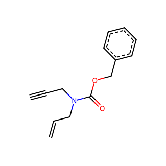 C#CCN(CC=C)C(=O)OCc1ccccc1